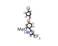 COc1cc(OCc2ccc(Cl)cc2)ccc1-c1nc(C(F)(F)F)c[nH]1